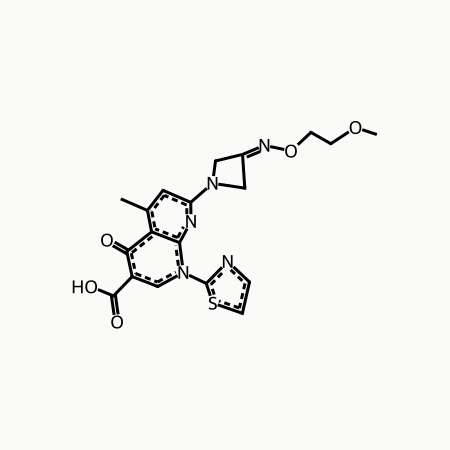 COCCON=C1CN(c2cc(C)c3c(=O)c(C(=O)O)cn(-c4nccs4)c3n2)C1